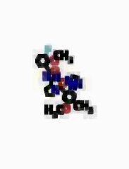 COc1cc(C(=O)N2CCCC2c2noc(-c3cccc(F)c3OC)n2)c(-n2nccn2)cc1C